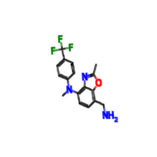 Cc1nc2c(N(C)c3ccc(C(F)(F)F)cc3)ccc(CN)c2o1